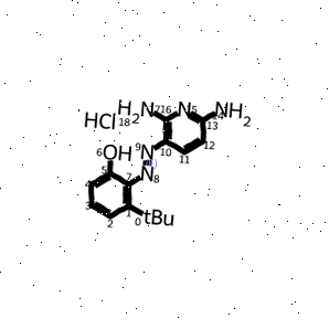 CC(C)(C)c1cccc(O)c1/N=N/c1ccc(N)nc1N.Cl